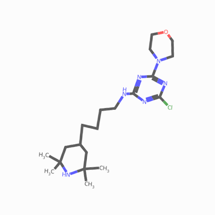 CC1(C)CC(CCCCNc2nc(Cl)nc(N3CCOCC3)n2)CC(C)(C)N1